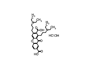 CCN(CC)CCCc1cc2oc3ccc(C(=O)O)cc3c(=O)c2c(CCCN(CC)CC)c1C(=O)O.Cl.Cl